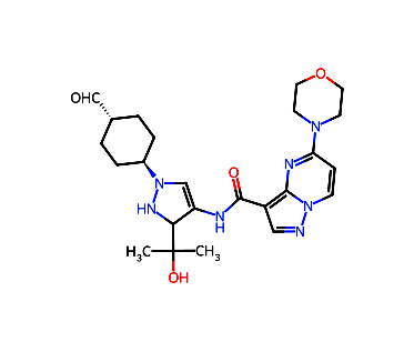 CC(C)(O)C1NN([C@H]2CC[C@H](C=O)CC2)C=C1NC(=O)c1cnn2ccc(N3CCOCC3)nc12